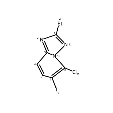 CCc1nc2ccc(I)c(Cl)n2n1